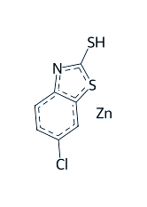 Sc1nc2ccc(Cl)cc2s1.[Zn]